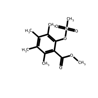 COC(=O)c1c(C)c(C)c(C)c(C)c1OS(C)(=O)=O